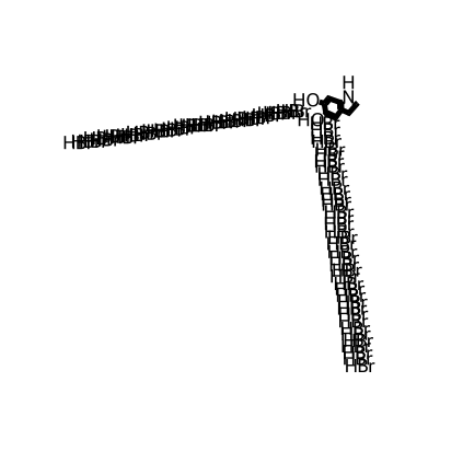 Br.Br.Br.Br.Br.Br.Br.Br.Br.Br.Br.Br.Br.Br.Br.Br.Br.Br.Br.Br.Br.Br.Br.Br.Br.Br.Br.Br.Br.Br.Br.Br.Br.Br.Br.Br.Br.Br.Br.Br.Br.Br.Br.Br.Br.Br.Br.Br.Br.Br.Br.Br.Br.Br.Br.Br.Br.Br.Br.Br.Br.Br.Br.Br.Br.Br.Br.Br.Br.Br.Br.Br.Br.Br.Oc1cc2c(cc1O)NCC2